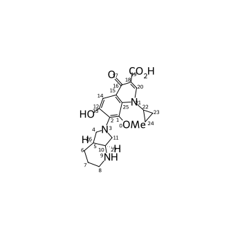 COc1c(N2C[C@@H]3CCCN[C@@H]3C2)c(O)cc2c(=O)c(C(=O)O)cn(C3CC3)c12